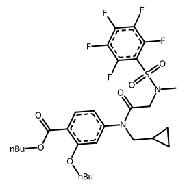 CCCCOC(=O)c1ccc(N(CC2CC2)C(=O)CN(C)S(=O)(=O)c2c(F)c(F)c(F)c(F)c2F)cc1OCCCC